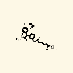 C=CC(=O)O.CN(C)C(=O)C(c1ccccc1)c1ccccc1.NNC(=O)CCCCC(=O)O